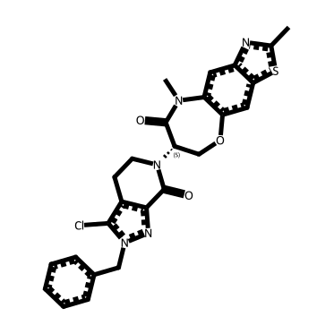 Cc1nc2cc3c(cc2s1)OC[C@H](N1CCc2c(nn(Cc4ccccc4)c2Cl)C1=O)C(=O)N3C